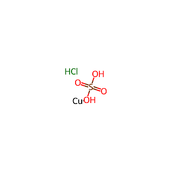 Cl.O=S(=O)(O)O.[Cu]